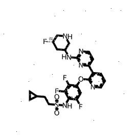 O=S(=O)(CCC1CC1)Nc1c(F)cc(Oc2ncccc2-c2ccnc(NC3CNC[C@@H](F)C3)n2)c(F)c1F